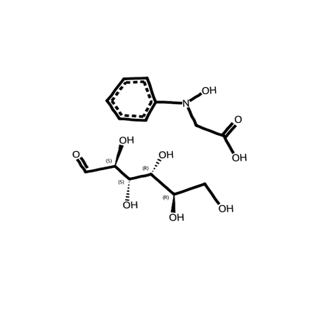 O=C(O)CN(O)c1ccccc1.O=C[C@@H](O)[C@@H](O)[C@H](O)[C@H](O)CO